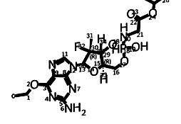 CCOc1nc(N)nc2c1ncn2[C@@H]1O[C@@H]2CO[PH](O)(NCC(=O)OC(C)C)O[C@H]2[C@@]1(C)F